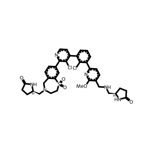 COc1nc(-c2cccc(-c3ccnc(-c4ccc5c(c4)S(=O)(=O)CCN(C[C@H]4CCC(=O)N4)C5)c3Cl)c2Cl)ccc1CNC[C@H]1CCC(=O)N1